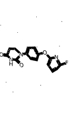 O=C1CCN(c2ccc(Oc3cccc(F)n3)cc2)C(=O)N1